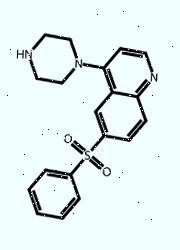 O=S(=O)(c1ccccc1)c1ccc2nccc(N3CCNCC3)c2c1